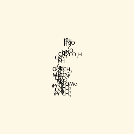 CC[C@H](C)[C@@H]([C@@H](CC(=O)N1CCC[C@H]1[C@H](OC)[C@@H](C)C(=O)N[C@@H](Cc1ccccc1)C(=O)NCCCOC(=O)C(C)NC(=O)CC(NC(=O)CCNC(=O)C(C)(C)C)C(=O)O)OC)N(C)C(=O)C(NC(=O)[C@H](C(C)C)N(C)C)C(C)C